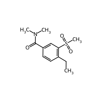 CCc1ccc(C(=O)N(C)C)cc1S(C)(=O)=O